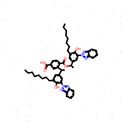 CCCCCCCCc1cc(C(C)OC(=O)c2ccc(C(=O)O)cc2C(C)c2cc(CCCCCCCC)c(O)c(-n3nc4ccccc4n3)c2)cc(-n2nc3ccccc3n2)c1O